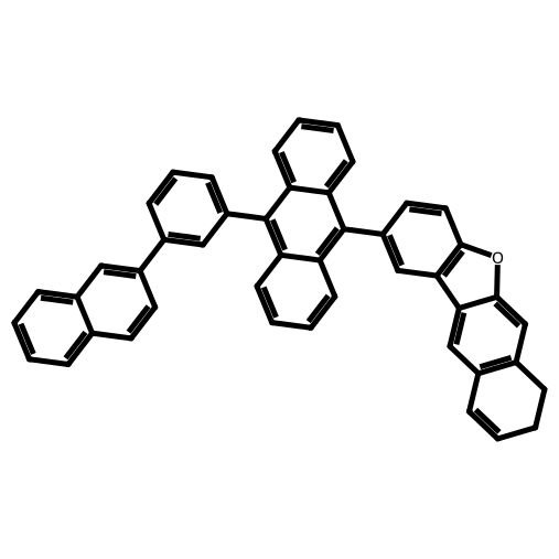 C1=Cc2cc3c(cc2CC1)oc1ccc(-c2c4ccccc4c(-c4cccc(-c5ccc6ccccc6c5)c4)c4ccccc24)cc13